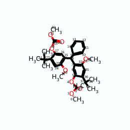 COC(=O)Oc1cc(C(c2ccccc2)c2cc(OC(=O)OC)c(C(C)(C)C)cc2OC)c(OC)cc1C(C)(C)C